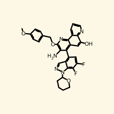 COc1ccc(COc2nc3c(cc(O)c4ncccc43)c(-c3cc(F)c(F)c4c3cnn4C3CCCCO3)c2N)cc1